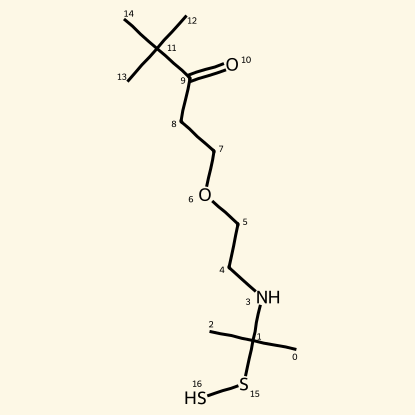 CC(C)(NCCOCCC(=O)C(C)(C)C)SS